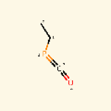 CCP=C=O